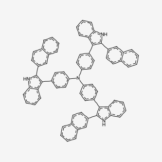 c1ccc2cc(-c3[nH]c4ccccc4c3-c3ccc(N(c4ccc(-c5c(-c6ccc7ccccc7c6)[nH]c6ccccc56)cc4)c4ccc(-c5c(-c6ccc7ccccc7c6)[nH]c6ccccc56)cc4)cc3)ccc2c1